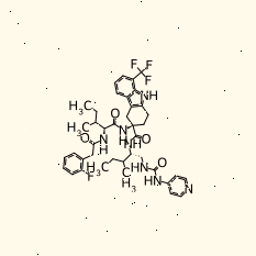 CCC(C)[C@H](NC(=O)Cc1ccccc1F)C(=O)N[C@]1(C(=O)N[C@H](CNC(=O)Nc2ccncc2)C(C)CC)CCc2[nH]c3c(C(F)(F)F)cccc3c2C1